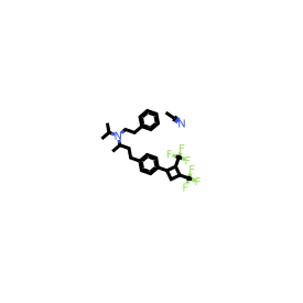 CC#N.CC(C)N(CCc1ccccc1)C(C)CCc1ccc(C2CC(C(F)(F)F)C2C(F)(F)F)cc1